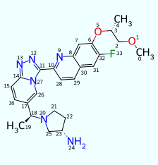 COC[C@@H](C)Oc1cc2nc(-c3nnc4ccc([C@H](C)N5CC[C@H](N)C5)cn34)ccc2cc1F